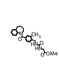 COC(=O)CNC(=O)NCc1ccc(C(=O)N2CCCCc3ccccc32)cc1C